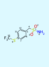 NS(=O)(=O)Cc1ccc(SC(F)(F)F)cc1